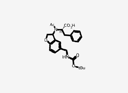 CC(=O)N(C1COc2ccc(CNC(=O)OC(C)(C)C)cc21)[C@@H](Cc1ccccc1)C(=O)O